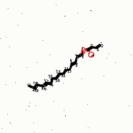 [CH2]CCC(=O)OCCCCCCCCCCCCCCCC